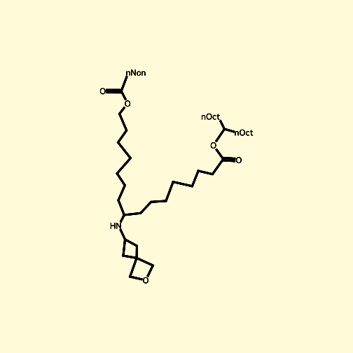 CCCCCCCCCC(=O)OCCCCCCCC(CCCCCCCC(=O)OC(CCCCCCCC)CCCCCCCC)NC1CC2(COC2)C1